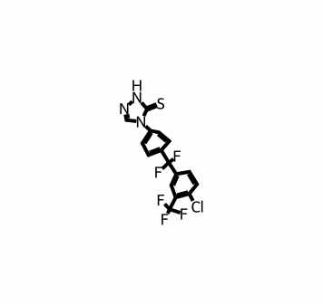 FC(F)(F)c1cc(C(F)(F)c2ccc(-n3cn[nH]c3=S)cc2)ccc1Cl